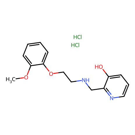 COc1ccccc1OCCNCc1ncccc1O.Cl.Cl